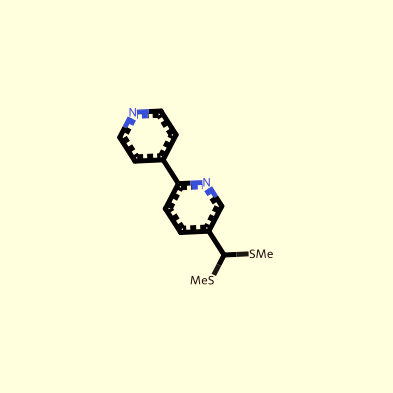 CSC(SC)c1ccc(-c2ccncc2)nc1